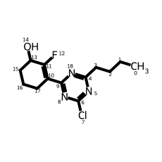 CCCCc1nc(Cl)nc(C2=C(F)C(O)CCC2)n1